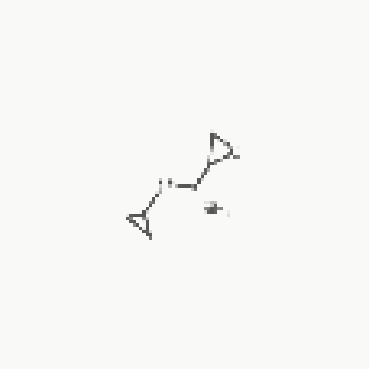 C1CC1OCC1CO1.[SiH4]